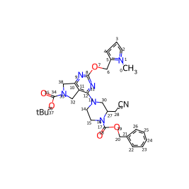 Cn1cccc1COc1nc2c(c(N3CCN(C(=O)OCc4ccccc4)C(CC#N)C3)n1)CN(C(=O)OC(C)(C)C)C2